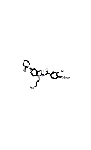 COc1ccc(C(=O)/N=c2\[nH]c3cc(N4CCOCC4=O)ccc3n2CCCO)cc1C#N